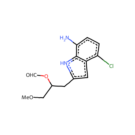 COCC(Cc1cc2c(Cl)ccc(N)c2[nH]1)OC=O